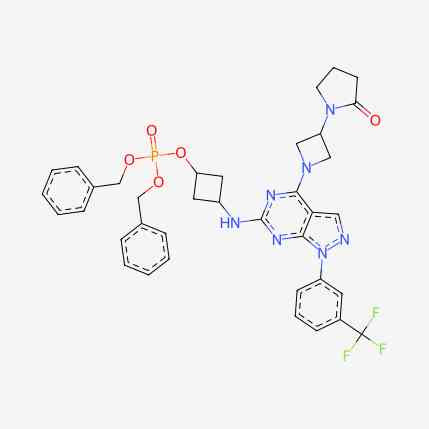 O=C1CCCN1C1CN(c2nc(NC3CC(OP(=O)(OCc4ccccc4)OCc4ccccc4)C3)nc3c2cnn3-c2cccc(C(F)(F)F)c2)C1